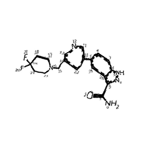 NC(=O)c1n[nH]c2ccc(-c3cncc(CN4CCC(F)(F)CC4)c3)cc12